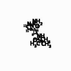 CC(C)(C)C(=O)N[C@H]1C[C@@H](c2c[c]nn2C(N)=O)C1